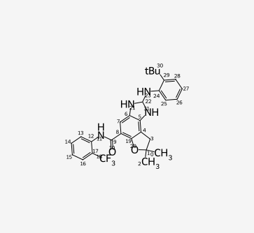 CC1(C)Cc2c3c(cc(C(=O)Nc4ccccc4C(F)(F)F)c2O1)NC(Nc1ccccc1C(C)(C)C)N3